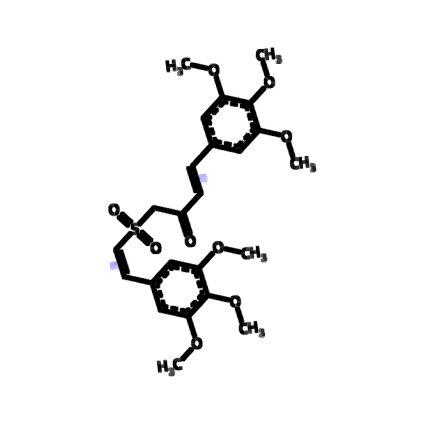 COc1cc(/C=C\S(=O)(=O)CC(=O)/C=C/c2cc(OC)c(OC)c(OC)c2)cc(OC)c1OC